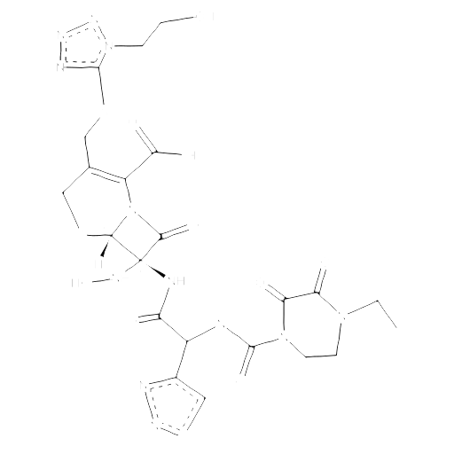 CCN1CCN(C(=O)NC(C(=O)N[C@]2(NO)C(=O)N3C(C(=O)O)=C(CSc4nnnn4CCO)CS[C@H]32)c2csnn2)C(=O)C1=O